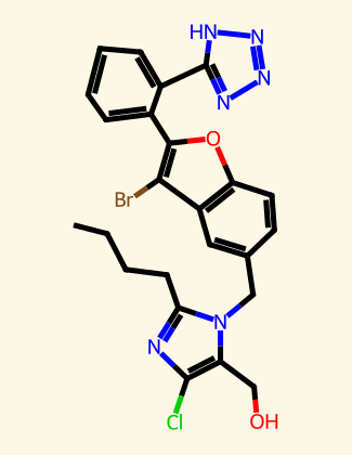 CCCCc1nc(Cl)c(CO)n1Cc1ccc2oc(-c3ccccc3-c3nnn[nH]3)c(Br)c2c1